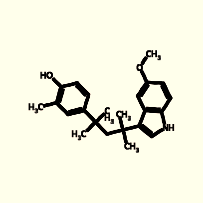 COc1ccc2[nH]cc(C(C)(C)CC(C)(C)c3ccc(O)c(C)c3)c2c1